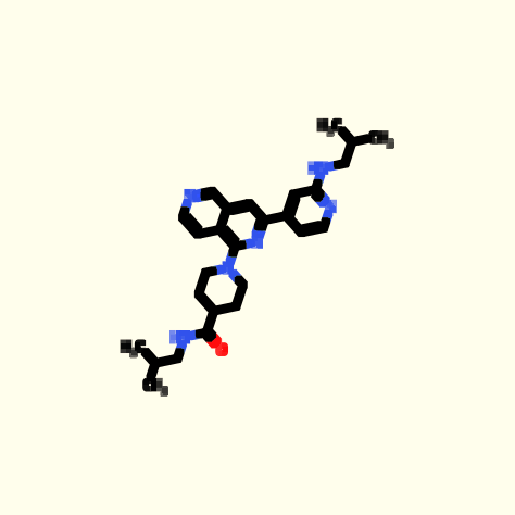 CC(C)CNC(=O)C1CCN(c2nc(-c3ccnc(NCC(C)C)c3)cc3cnccc23)CC1